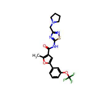 Cc1oc(-c2cccc(OC(F)(F)F)c2)cc1C(=O)Nc1nc(CN2CCCC2)ns1